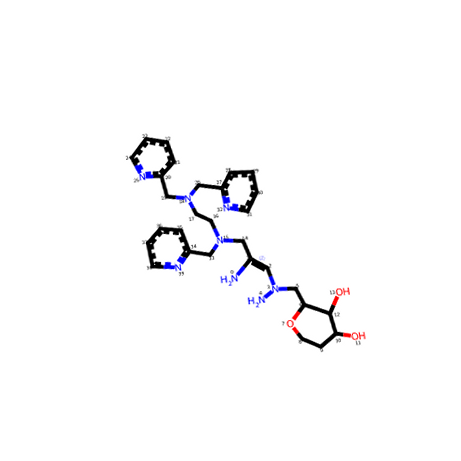 N/C(=C\N(N)CC1OCCC(O)C1O)CN(CCN(Cc1ccccn1)Cc1ccccn1)Cc1ccccn1